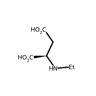 CCN[C@H](CC(=O)O)C(=O)O